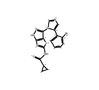 O=C(Nc1nc2[nH]nc(-n3cncc3-c3ccccc3Br)c2s1)C1CC1